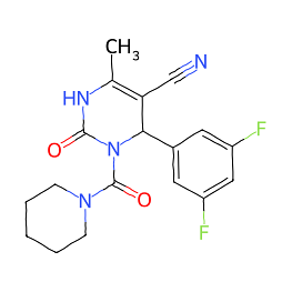 CC1=C(C#N)C(c2cc(F)cc(F)c2)N(C(=O)N2CCCCC2)C(=O)N1